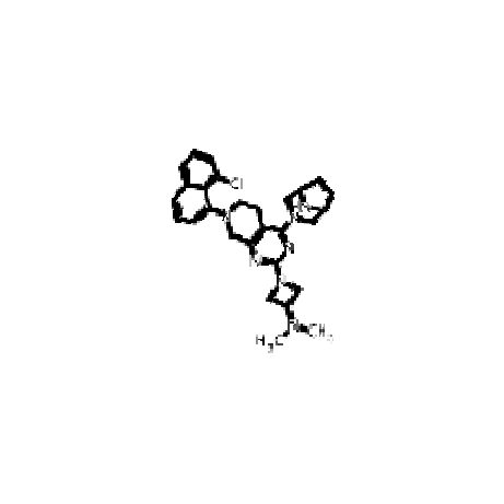 CN(C)C1CN(c2nc3c(c(N4CC5CCC(C4)N5)n2)CCN(c2cccc4cccc(Cl)c24)C3)C1